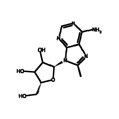 Cc1nc2c(N)ncnc2n1[C@@H]1O[C@H](CO)C(O)C1O